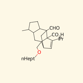 CCCCCCCOCC12CC3C(C)CCC3C3(C=O)CC1C=C(C(C)C)C32C(=O)O